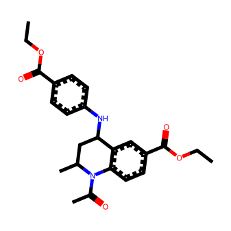 CCOC(=O)c1ccc(NC2CC(C)N(C(C)=O)c3ccc(C(=O)OCC)cc32)cc1